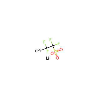 CCCC(F)(F)C(F)(F)S(=O)(=O)[O-].[Li+]